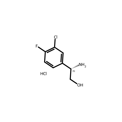 Cl.N[C@H](CO)c1ccc(F)c(Cl)c1